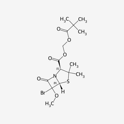 COC1(Br)C(=O)N2[C@@H](C(=O)OCOC(=O)C(C)(C)C)C(C)(C)S[C@@H]21